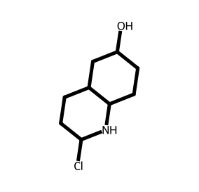 OC1CCC2NC(Cl)CCC2C1